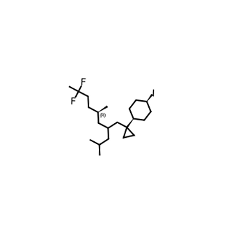 CC(C)CC(C[C@H](C)CCC(C)(F)F)CC1([C@H]2CC[C@@H](I)CC2)CC1